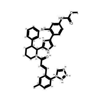 COC(=O)Nc1ccc(-c2c[nH]c(C3C(c4ccccc4)CCCN3C(=O)/C=C/c3cc(C)ccc3-n3cnnn3)n2)c(Br)c1